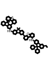 C=Cc1ccc2c(c1)-c1ccc(Nc3cccc4oc5c(-c6ccc7c(c6)-c6ccc(Nc8cc9c(c(-c%10cccc%11sc%12ccccc%12c%10%11)c8)C(C)(C)c8ccccc8-9)cc6C7(C)C)cccc5c34)cc1C2(c1ccccc1)c1ccccc1